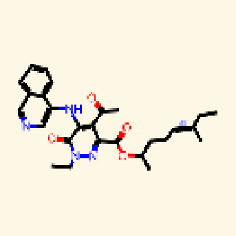 CC/C(C)=C/CCC(C)OC(=O)c1nn(CC)c(=O)c(Nc2cncc3ccccc23)c1C(C)=O